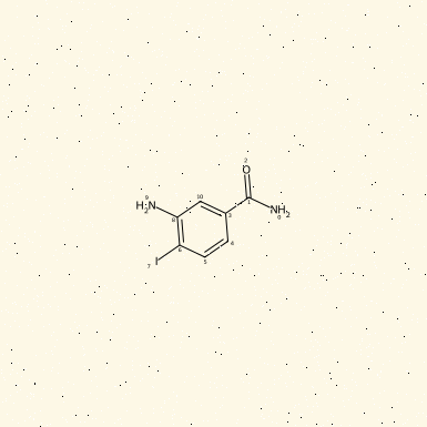 NC(=O)c1ccc(I)c(N)c1